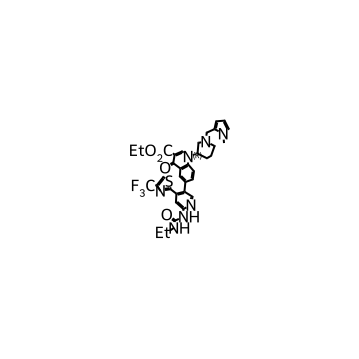 CCNC(=O)Nc1cc(-c2nc(C(F)(F)F)cs2)c(-c2ccc3c(c2)c(=O)c(C(=O)OCC)cn3[C@@H]2CCCN(Cc3cccn3C)C2)cn1